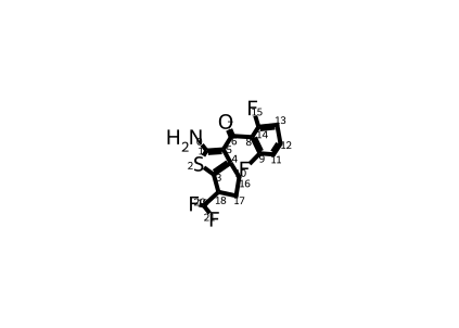 Nc1sc2c(c1C(=O)c1c(F)cccc1F)CCC2C(F)F